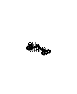 CN(CCCNC(=O)c1cccc2cc3ccccc3nc12)CCCC1=NN(O)c2ccccc2N1O